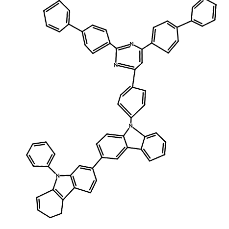 C1=Cc2c(c3ccc(-c4ccc5c(c4)c4ccccc4n5-c4ccc(-c5cc(-c6ccc(-c7ccccc7)cc6)nc(-c6ccc(-c7ccccc7)cc6)n5)cc4)cc3n2-c2ccccc2)CC1